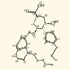 CCCc1ccc([C@H]2[C@H](O)CN(C(=O)O)C[C@@H]2OCc2ccc3c(c2)N(CCCOC)CCO3)cc1